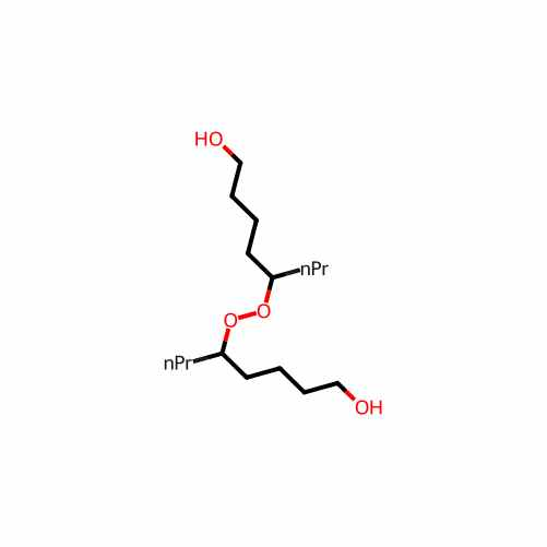 CCCC(CCCCO)OOC(CCC)CCCCO